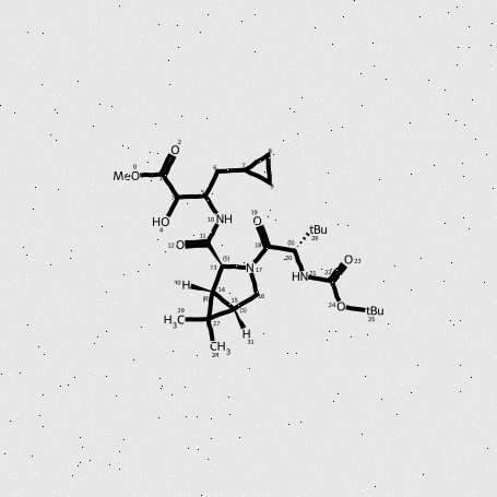 COC(=O)C(O)C(CC1CC1)NC(=O)[C@@H]1[C@@H]2[C@H](CN1C(=O)[C@@H](NC(=O)OC(C)(C)C)C(C)(C)C)C2(C)C